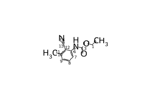 CCOC(=O)Nc1cccc(C)c1C#N